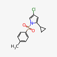 Cc1ccc(S(=O)(=O)n2cc(Cl)cc2C2CC2)cc1